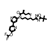 C=C(CCF)C(=O)N(CCCCCc1noc(C(C)(C)C)n1)c1cncc(-c2ccc(OC(F)F)cn2)c1